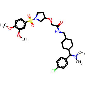 COc1ccc(S(=O)(=O)N2CCC(OCC(=O)NCC3CCC(C(c4ccc(Cl)cc4)N(C)C)CC3)C2)cc1OC